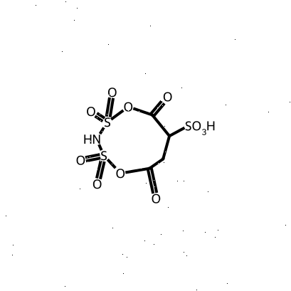 O=C1CC(S(=O)(=O)O)C(=O)OS(=O)(=O)NS(=O)(=O)O1